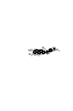 CC1(C)CC[C@]2(C(=O)O)CC[C@]3(C)C(=CCC4[C@@]5(C)CCC(n6cc(-c7ccc(OS(C)(=O)=O)cc7)nn6)C(C)(C)C5CC[C@]43C)C2C1